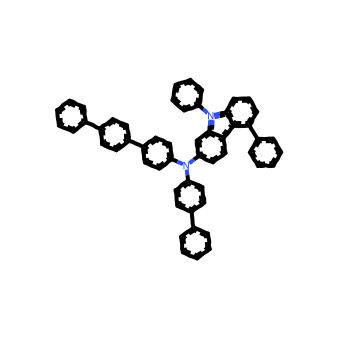 c1ccc(-c2ccc(-c3ccc(N(c4ccc(-c5ccccc5)cc4)c4ccc5c6c(-c7ccccc7)cccc6n(-c6ccccc6)c5c4)cc3)cc2)cc1